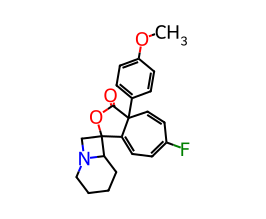 COc1ccc(C23C=CC(F)=CC=C2C2(CN4CCCCC42)OC3=O)cc1